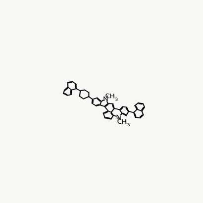 CN1c2cc(-c3cccc4ccccc34)ccc2-c2cc3c(c4cccc1c24)c1ccc(C2CCC(c4cccc5ccccc45)CC2)cc1n3C